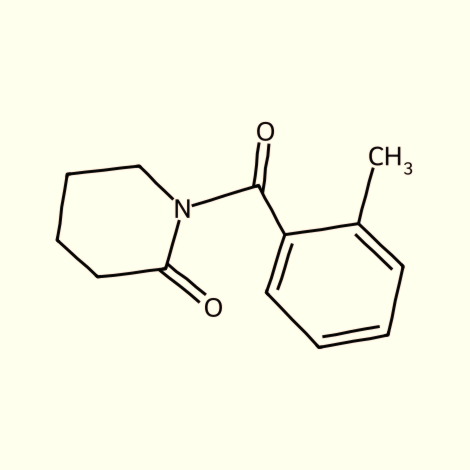 Cc1ccccc1C(=O)N1CCCCC1=O